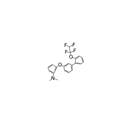 CN(C)c1cccc(Oc2cccc(-c3ccccc3OC(F)(F)C(F)F)c2)c1